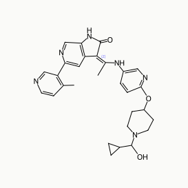 C/C(Nc1ccc(OC2CCN(C(O)C3CC3)CC2)nc1)=C1/C(=O)Nc2cnc(-c3cnccc3C)cc21